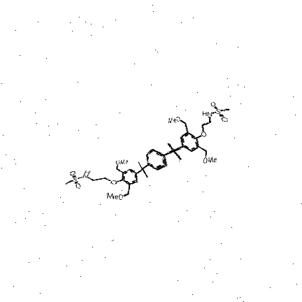 COCc1cc(C(C)(C)c2ccc(C(C)(C)c3cc(COC)c(OCCNS(C)(=O)=O)c(COC)c3)cc2)cc(COC)c1OCCNS(C)(=O)=O